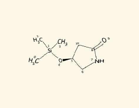 C[Si](C)(C)O[C@@H]1CNC(=O)C1